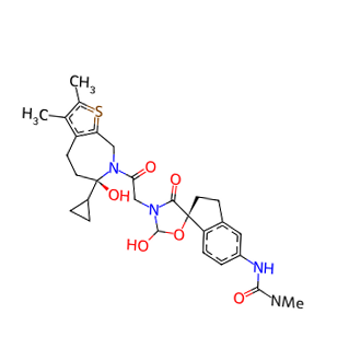 CNC(=O)Nc1ccc2c(c1)CC[C@]21OC(O)N(CC(=O)N2Cc3sc(C)c(C)c3CC[C@@]2(O)C2CC2)C1=O